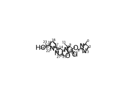 Cc1ccnc(COc2cc(C)n(-c3cc(-c4cccc(C(C)(C)O)n4)ncc3C)c(=O)c2Cl)n1